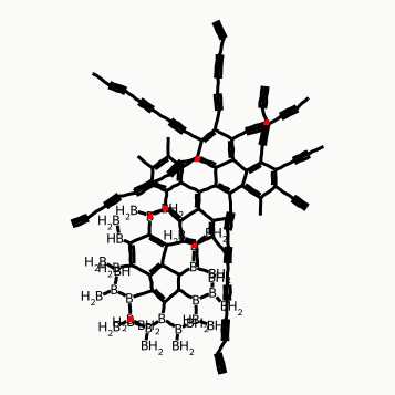 BBB(B)B(B(B)B)C1=C(B(B(B)B)B(B)B)C(B(BB)B(B)B)C(B(B)B(B)B)c2c1c(B)c(BB)c(B(B)B)c2-c1c(C)c(C)c(C)c2c(-c3c(C#CC#CC#CC#CC#C)c4c(C)c(C#C)c(C#CC)c(C#CC#C)c4c4c(C#CC#CC)c(C#CC#CC#C)c(C#CC#CC#CC)c(C#CC#CC#CC#C)c34)c3c(C)c(C)c(C)c(C)c3c(C)c12